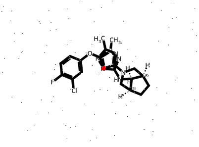 Cc1noc(N2C[C@H]3CC[C@@H](C2)[C@H]3Nc2nc(Oc3ccc(F)c(Cl)c3)n(C)n2)n1